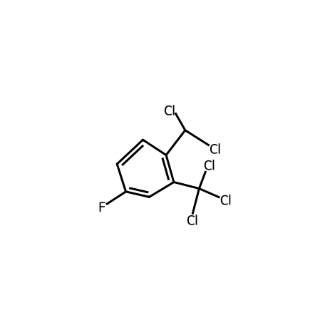 Fc1ccc(C(Cl)Cl)c(C(Cl)(Cl)Cl)c1